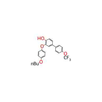 CCCCOc1ccc(Oc2cc(-c3ccc(OC(F)(F)F)cc3)ccc2O)cc1